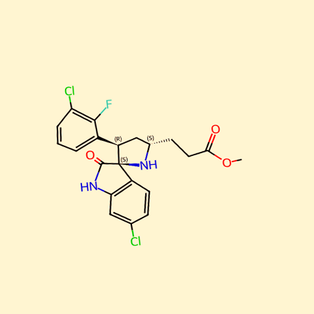 COC(=O)CC[C@H]1C[C@H](c2cccc(Cl)c2F)[C@@]2(N1)C(=O)Nc1cc(Cl)ccc12